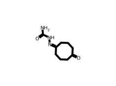 NC(=O)NN=C1CCCC(=O)CCC1